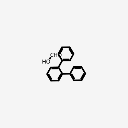 O=CO.c1ccc(-c2ccccc2-c2ccccc2)cc1